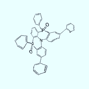 O=P1(c2ccccc2)c2cc(-c3ccccc3)ccc2N2c3ccc(-c4ccccc4)cc3P(=O)(c3ccccc3)c3cccc1c32